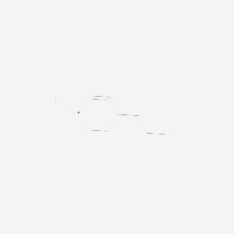 CC1(C)C=CC(CCC=O)CC1